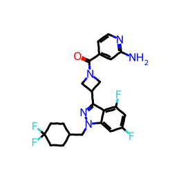 Nc1cc(C(=O)N2CC(c3nn(CC4CCC(F)(F)CC4)c4cc(F)cc(F)c34)C2)ccn1